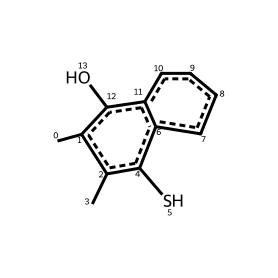 Cc1c(C)c(S)c2ccccc2c1O